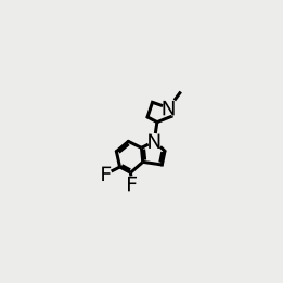 CN1CCC(n2ccc3c(F)c(F)ccc32)C1